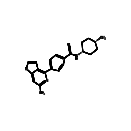 Cc1cc2occc2c(-c2ccc(C(=O)N[C@H]3CC[C@@H](C)CC3)cc2)n1